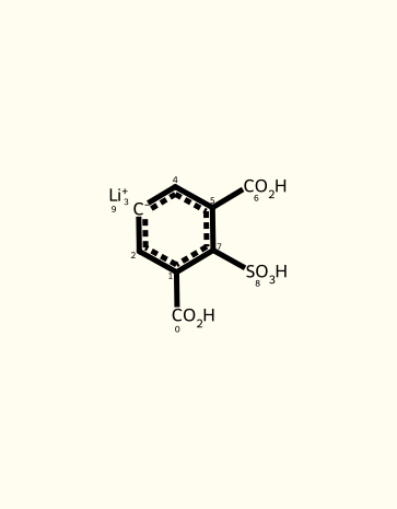 O=C(O)c1c[c-]cc(C(=O)O)c1S(=O)(=O)O.[Li+]